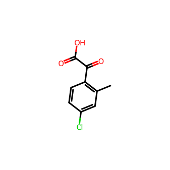 Cc1cc(Cl)ccc1C(=O)C(=O)O